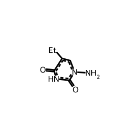 CCc1cn(N)c(=O)[nH]c1=O